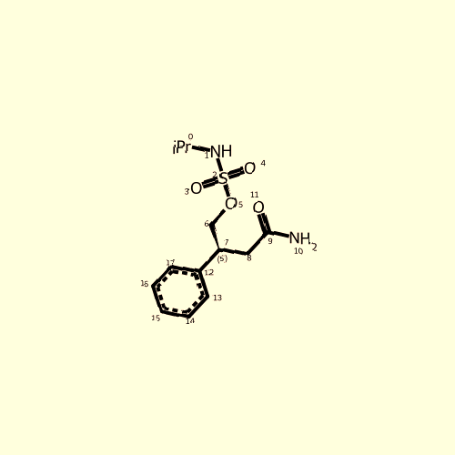 CC(C)NS(=O)(=O)OC[C@@H](CC(N)=O)c1ccccc1